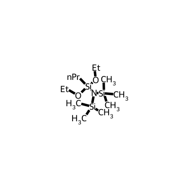 CCC[Si](OCC)(OCC)N([Si](C)(C)C)[Si](C)(C)C